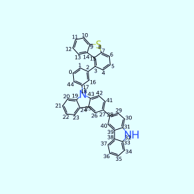 c1cc(-c2cccc3sc4ccccc4c23)cc(-n2c3ccccc3c3cc(-c4ccc5[nH]c6ccccc6c5c4)ccc32)c1